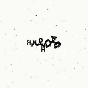 CN(C)C(c1cccs1)C1CCC(NC(=O)CN)CC1